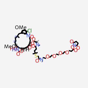 COc1cc2cc(c1Cl)N(C)C(=O)C[C@H](OC(=O)[C@H](C)N(C)C(=O)CCC(C)(C)SCC(=O)N(C)CCOCCOCCOCCOCCC(=O)ON1C(=O)CCC1=O)[C@]1(C)O[C@H]1[C@H](C)[C@@H]1C[C@@](O)(NC(=O)O1)[C@H](OC)/C=C/C=C(\C)C2